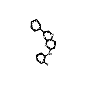 Fc1ccccc1Nc1ccc2ncc(-c3ccccc3)nc2n1